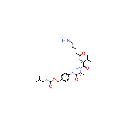 CC(C)CNC(=O)OCc1ccc(NC(=O)[C@H](C)NC(=O)[C@@H](NC(=O)CCCCN)C(C)C)cc1